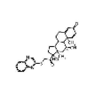 CC12C=CC(=O)C=C1CCC1C2[C@@H](O)CC2(C)C1CC[C@]2(O)C(=O)CSc1cnc2ccccc2n1